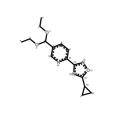 CCOC(OCC)c1ccc(-c2noc(C3CC3)n2)nc1